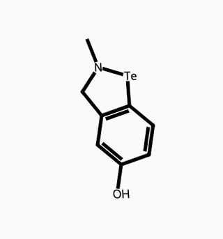 CN1Cc2cc(O)ccc2[Te]1